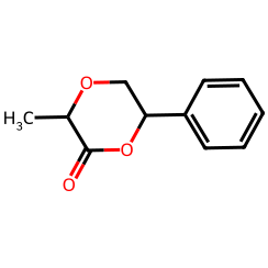 CC1OCC(c2ccccc2)OC1=O